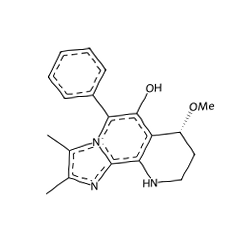 CO[C@@H]1CCNc2c1c(O)c(-c1ccccc1)n1c(C)c(C)nc21